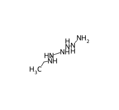 CCNNNNNN